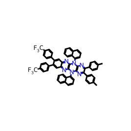 Cc1ccc(-c2nc3c(nc2-c2ccc(C)cc2)N(c2cccc4ccccc24)c2nc4cc(-c5ccc(C(F)(F)F)cc5)c(-c5ccc(C(F)(F)F)cc5)cc4nc2N3c2cccc3ccccc23)cc1